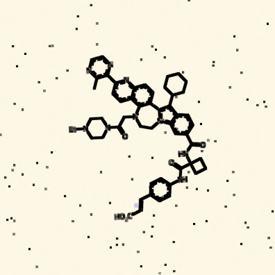 CCN1CCN(C(=O)CN2CCn3c(c(C4CCCCC4)c4ccc(C(=O)NC5(C(=O)Nc6ccc(/C=C/C(=O)O)cc6)CCC5)cc43)-c3ccc4nc(-c5nccnc5C)ccc4c32)CC1